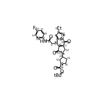 CCc1cc2n(CC(=O)Nc3ccc(F)cn3)c3c(c(=O)n2n1)CN(C1CCN(C(=O)OC(C)(C)C)C1)C3=O